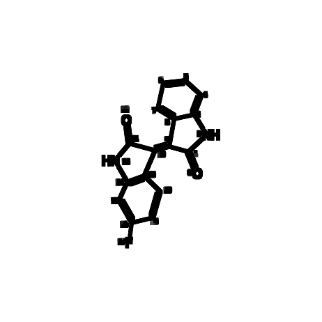 O=C1Nc2ccccc2/C1=C1\C(=O)Nc2cc(F)ccc21